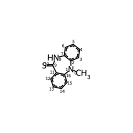 CN1c2ccccc2NC(=S)c2ccccc21